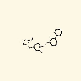 Cc1cc(CN2C[C@H](O)C[C@@H]2C=O)ccc1OCc1cccc(-c2ccccc2)c1C